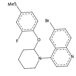 CSc1ccc(OC2CCCCN2c2ccnc3ccc(Br)cc23)c(F)c1